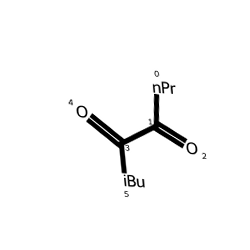 CCCC(=O)C(=O)C(C)CC